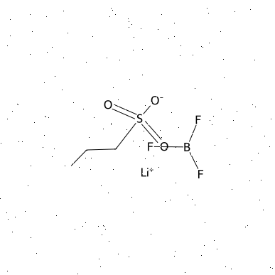 CCCS(=O)(=O)[O-].FB(F)F.[Li+]